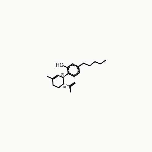 C=C(C)[C@@H]1CCC(C)=C[C@H]1c1[c]cc(CCCCC)cc1O